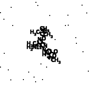 CC[C@@](C)(N)c1cnc(O[C@H](C)CC(C)[S+](C)[O-])c2cnc(Nc3ccc4c(n3)C3(CC3)[C@H](C)OC4=O)cc12